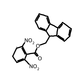 O=C(OCC1c2ccccc2-c2ccccc21)C1=C([N+](=O)[O-])[CH]CC=C1[N+](=O)[O-]